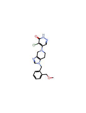 COCc1ccccc1Cn1cnc2c1CCN(c1cn[nH]c(=O)c1Cl)C2